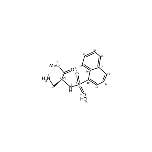 COC(=O)[C@H](CN)NS(=O)(=O)c1cccc2ccccc12.Cl